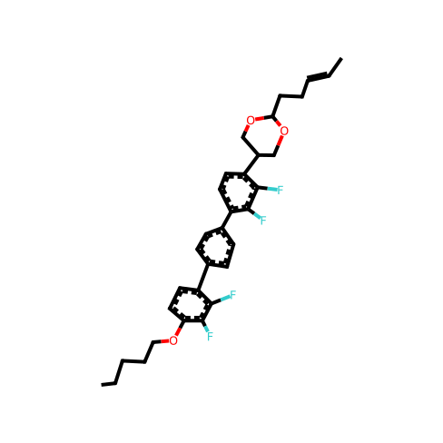 C/C=C/CCC1OCC(c2ccc(-c3ccc(-c4ccc(OCCCCC)c(F)c4F)cc3)c(F)c2F)CO1